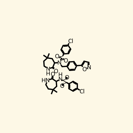 CC1(C)CCNC(=O)C(N(Cc2ccc(-c3ccno3)cc2)S(=O)(=O)c2ccc(Cl)cc2)C1.CC1(C)CCNC(=O)C(NS(=O)(=O)c2ccc(Cl)cc2)C1